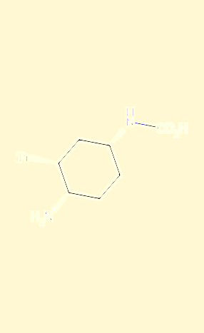 CC(C)[C@@H]1C[C@H](NC(=O)O)CC[C@@H]1N